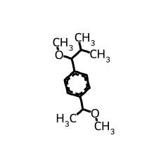 COC(C)c1ccc(C(OC)C(C)C)cc1